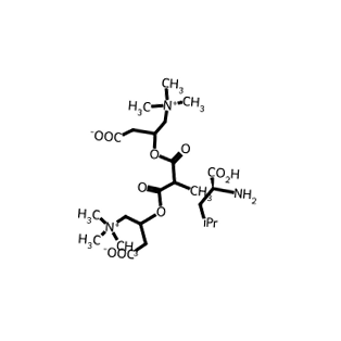 CC(C(=O)OC(CC(=O)[O-])C[N+](C)(C)C)C(=O)OC(CC(=O)[O-])C[N+](C)(C)C.CC(C)C[C@H](N)C(=O)O